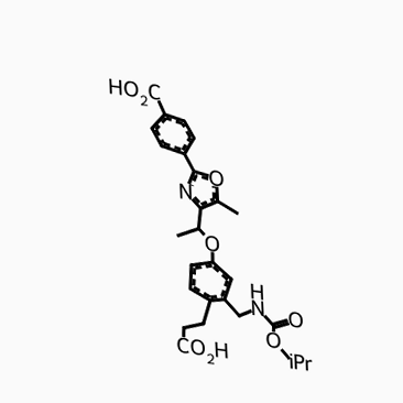 Cc1oc(-c2ccc(C(=O)O)cc2)nc1C(C)Oc1ccc(CCC(=O)O)c(CNC(=O)OC(C)C)c1